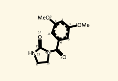 COc1cc(OC)cc(C(=O)N2CCNC2=O)c1